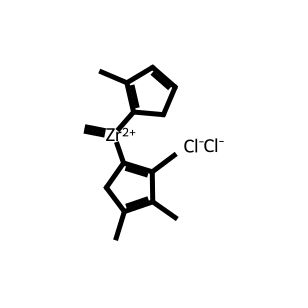 [CH2]=[Zr+2]([C]1=C(C)C=CC1)[C]1=C(C)C(C)=C(C)C1.[Cl-].[Cl-]